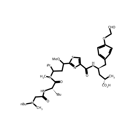 CCCCN(C)CC(=O)N[C@H](C(=O)N(C)C(CC(OC)c1nc(C(=O)N[C@@H](Cc2ccc(OCC=O)cc2)C[C@H](C)C(=O)O)cs1)C(C)C)C(C)CC